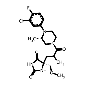 COC[C@]1(CC(C)C(=O)N2CCN(c3ccc(F)c(Cl)c3)[C@@H](C)C2)NC(=O)NC1=O